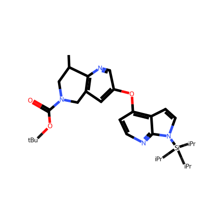 CC1CN(C(=O)OC(C)(C)C)Cc2cc(Oc3ccnc4c3ccn4[Si](C(C)C)(C(C)C)C(C)C)cnc21